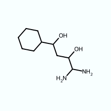 NC(N)C(O)CC(O)C1CCCCC1